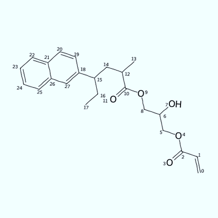 C=CC(=O)OCC(O)COC(=O)C(C)CC(CC)c1ccc2ccccc2c1